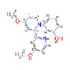 COc1ccnc(-c2cc(OC)ccn2)c1.Oc1ccccc1